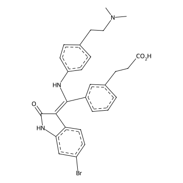 CN(C)CCc1ccc(N/C(=C2\C(=O)Nc3cc(Br)ccc32)c2cccc(CCC(=O)O)c2)cc1